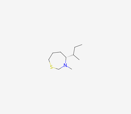 CCC(C)[C@H]1CCCSCN1C